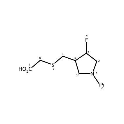 CC(C)N1CC(F)C(CSCC(=O)O)C1